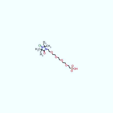 CC1(C)C(=O)N(CCOCCOCCOCCOCCS(=O)(=O)O)C(C)(C)N1Cl